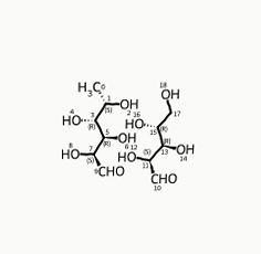 C[C@H](O)[C@@H](O)[C@@H](O)[C@H](O)C=O.O=C[C@@H](O)[C@H](O)[C@H](O)CO